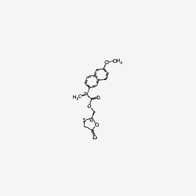 COc1ccc2cc([C@H](C)C(=O)OC[C@H]3OC(=O)CS3)ccc2c1